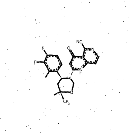 Cc1c([C@@H]2C[C@](C)(C(F)(F)F)OC[C@H]2c2cc(=O)c3c(C#N)nccc3[nH]2)ccc(F)c1F